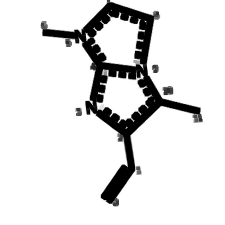 C=Cc1nc2n(C)ccn2c1C